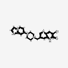 CCc1cc2ncc(CN3CCN(c4ccn5ccnc5c4)CC3)cc2[nH]c1=O